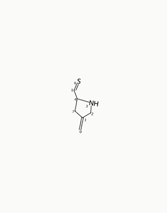 C=C1CNC(C=S)C1